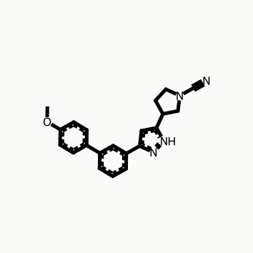 COc1ccc(-c2cccc(-c3cc(C4CCN(C#N)C4)[nH]n3)c2)cc1